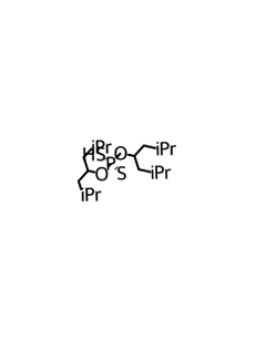 CC(C)CC(CC(C)C)OP(=S)(S)OC(CC(C)C)CC(C)C